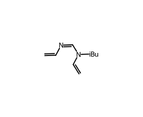 C=C/N=C\N(C=C)C(C)CC